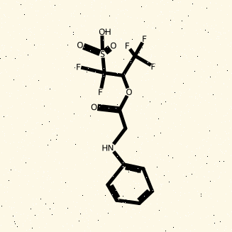 O=C(CNc1ccccc1)OC(C(F)(F)F)C(F)(F)S(=O)(=O)O